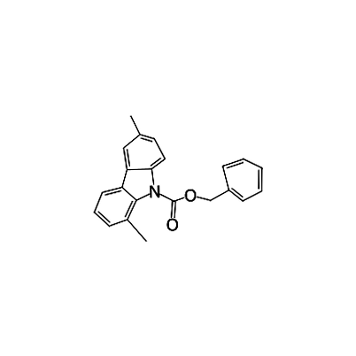 Cc1ccc2c(c1)c1cccc(C)c1n2C(=O)OCc1ccccc1